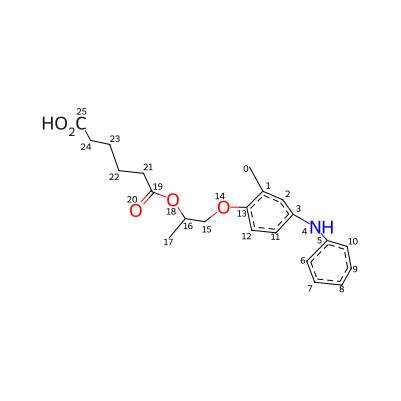 Cc1cc(Nc2ccccc2)ccc1OCC(C)OC(=O)CCCCC(=O)O